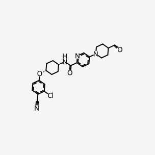 N#Cc1ccc(O[C@H]2CC[C@H](NC(=O)c3ccc(N4CCC(C=O)CC4)cn3)CC2)cc1Cl